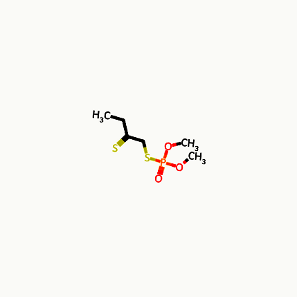 CCC(=S)CSP(=O)(OC)OC